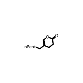 CCCCCCC1=COC(=O)CC1